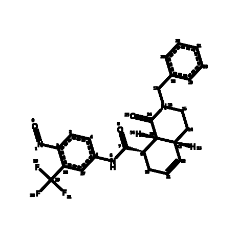 O=Nc1ccc(NC(=O)[C@H]2CC=C[C@H]3CCN(Cc4ccccc4)C(=O)[C@@H]23)cc1C(F)(F)F